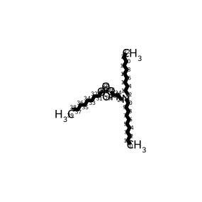 CCCCCCCCCCCN(CCCCCCCCCCC)CCCOP(=O)(O)OCCCCCCCCC